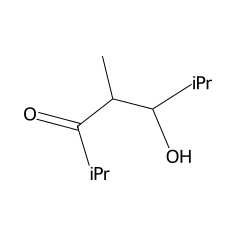 CC(C)C(=O)C(C)C(O)C(C)C